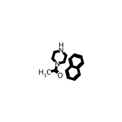 CC(=O)N1CCNCC1.c1ccc2ccccc2c1